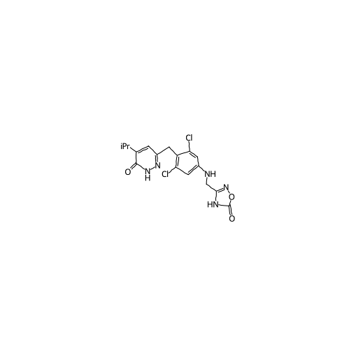 CC(C)c1cc(Cc2c(Cl)cc(NCc3noc(=O)[nH]3)cc2Cl)n[nH]c1=O